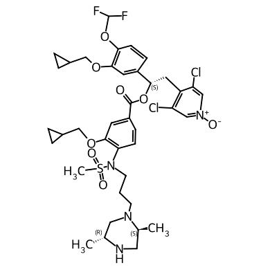 C[C@@H]1CN(CCCN(c2ccc(C(=O)O[C@@H](Cc3c(Cl)c[n+]([O-])cc3Cl)c3ccc(OC(F)F)c(OCC4CC4)c3)cc2OCC2CC2)S(C)(=O)=O)[C@@H](C)CN1